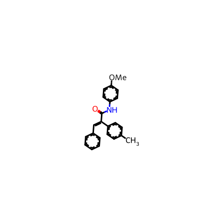 COc1ccc(NC(=O)/C(=C/c2ccccc2)c2ccc(C)cc2)cc1